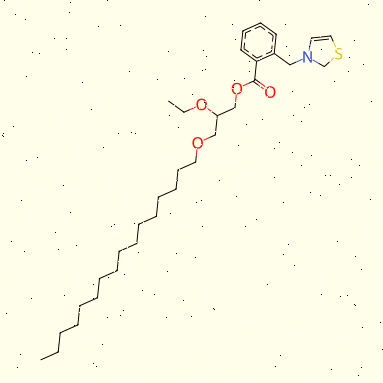 CCCCCCCCCCCCCCCCOCC(COC(=O)c1ccccc1CN1C=CSC1)OCC